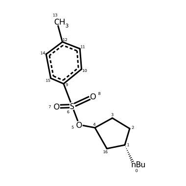 CCCC[C@H]1CCC(OS(=O)(=O)c2ccc(C)cc2)C1